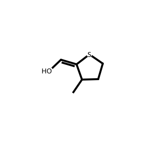 CC1CCS/C1=C/O